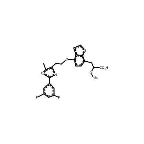 CCCCOC(Cc1ccc(OCCc2nc(-c3cc(F)cc(F)c3)oc2C)c2ccsc12)C(=O)O